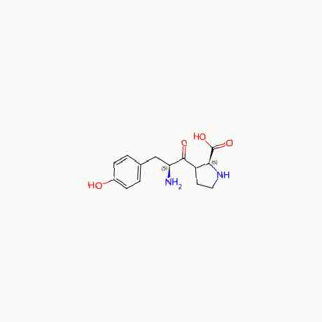 N[C@@H](Cc1ccc(O)cc1)C(=O)C1CCN[C@@H]1C(=O)O